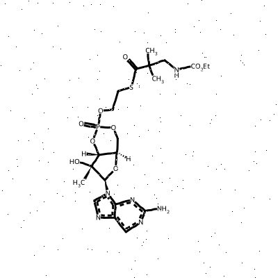 CCOC(=O)NCC(C)(C)C(=O)SCCOP1(=O)OC[C@H]2O[C@@H](n3cnc4cnc(N)nc43)[C@](C)(O)[C@@H]2O1